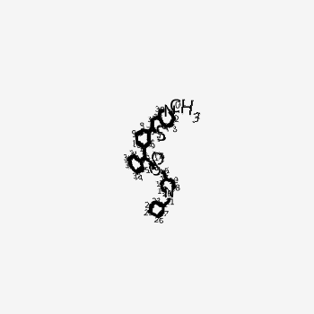 CN1CCc2sc(-c3cccc(C(C(=O)OCC4CCN(Cc5ccccc5)CC4)c4ccccc4)c3)cc2C1